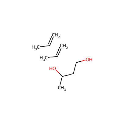 C=CC.C=CC.CC(O)CCO